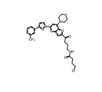 Cc1cccc(-c2ccn(-c3cc(N4CCOCC4)c4oc(C(=O)CCCNC(=O)CCCCl)cc4n3)n2)c1